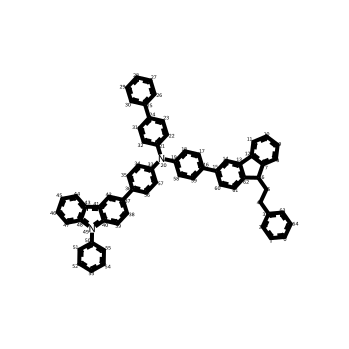 c1ccc(CCC2c3ccccc3-c3cc(-c4ccc(N(c5ccc(-c6ccccc6)cc5)c5ccc(-c6ccc7c(c6)c6ccccc6n7-c6ccccc6)cc5)cc4)ccc32)cc1